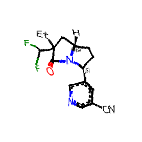 CCC1(C(F)F)C[C@@H]2CC[C@@H](c3cncc(C#N)c3)N2C1=O